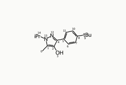 Cc1c(O)c(-c2ccc(C(C)(C)C)cc2)nn1C(C)C